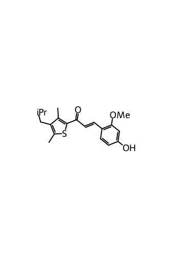 COc1cc(O)ccc1C=CC(=O)c1sc(C)c(CC(C)C)c1C